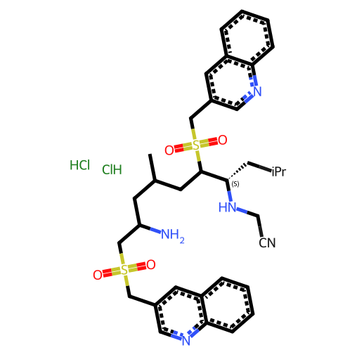 CC(C)C[C@H](NCC#N)C(CC(C)CC(N)CS(=O)(=O)Cc1cnc2ccccc2c1)S(=O)(=O)Cc1cnc2ccccc2c1.Cl.Cl